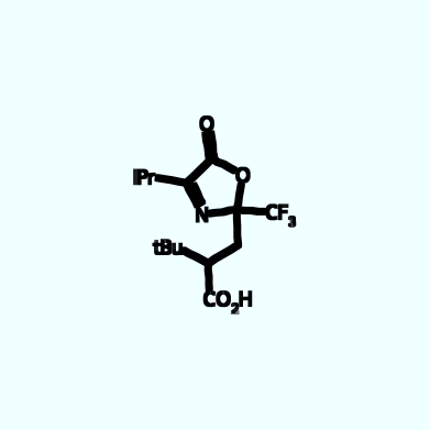 CC(C)C1=NC(CC(C(=O)O)C(C)(C)C)(C(F)(F)F)OC1=O